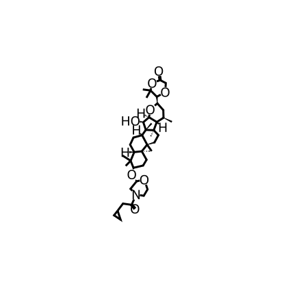 C[C@@H]1C[C@H](C2OCC(=O)OC2(C)C)O[C@H]2[C@H]1[C@@]1(C)CC[C@@]34C[C@@]35CC[C@H](O[C@H]3CN(C(=O)CC6CC6)CCO3)C(C)(C)[C@@H]5CC[C@H]4[C@]1(C)[C@H]2O